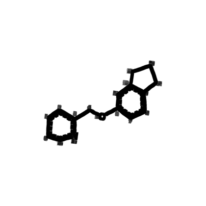 c1ccc(COc2ccc3c(c2)CCC3)nc1